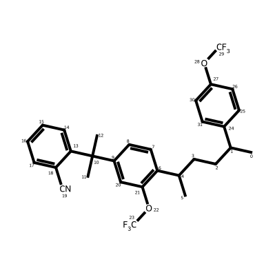 CC(CCC(C)c1ccc(C(C)(C)c2ccccc2C#N)cc1OC(F)(F)F)c1ccc(OC(F)(F)F)cc1